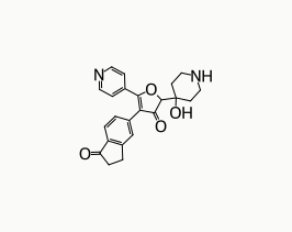 O=C1CCc2cc(C3=C(c4ccncc4)OC(C4(O)CCNCC4)C3=O)ccc21